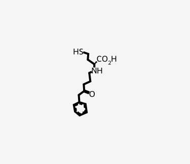 O=C(CCCN[C@@H](CCS)C(=O)O)Cc1ccccc1